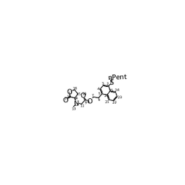 CCCCCSc1ccc(CCOC(=O)CN(C)C2CCOC2=O)c2ccccc12